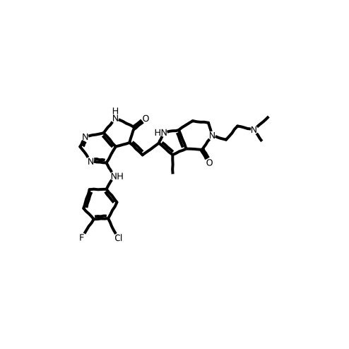 Cc1c(/C=C2\C(=O)Nc3ncnc(Nc4ccc(F)c(Cl)c4)c32)[nH]c2c1C(=O)N(CCN(C)C)CC2